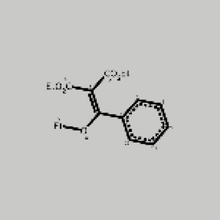 CCOC(=O)C(C(=O)OCC)=C(OCC)c1ccccc1